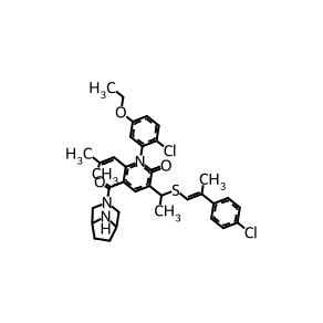 CCOc1ccc(Cl)c(-n2c(C=C(C)C)c(C(=O)N3CC4CCC(C3)N4)cc(C(C)S/C=C(\C)c3ccc(Cl)cc3)c2=O)c1